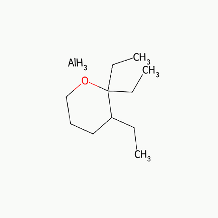 CCC1CCCOC1(CC)CC.[AlH3]